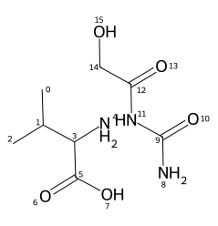 CC(C)C(N)C(=O)O.NC(=O)NC(=O)CO